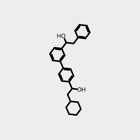 OC(Cc1ccccc1)c1cc[c]c(-c2ccc(C(O)CC3CCCCC3)cc2)c1